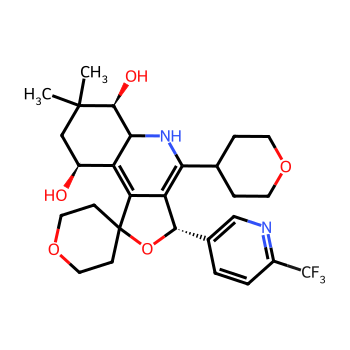 CC1(C)C[C@H](O)C2=C3C(=C(C4CCOCC4)NC2[C@@H]1O)[C@H](c1ccc(C(F)(F)F)nc1)OC31CCOCC1